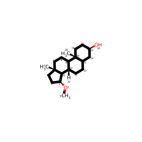 CO[C@H]1CC[C@]2(C)CCC3[C@H](CCC4C[C@H](O)CC[C@]43C)C12